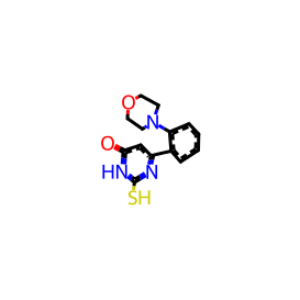 O=c1cc(-c2ccccc2N2CCOCC2)nc(S)[nH]1